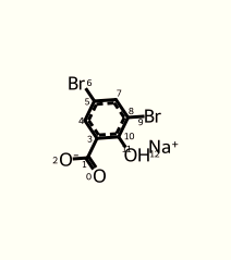 O=C([O-])c1cc(Br)cc(Br)c1O.[Na+]